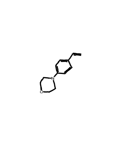 C=[C]c1ccc(N2CCOCC2)cc1